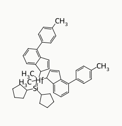 Cc1ccc(-c2cccc3c2C=C[CH]3[Hf]([CH3])([CH3])([CH]2C=Cc3c(-c4ccc(C)cc4)cccc32)=[Si](C2CCCC2)C2CCCC2)cc1